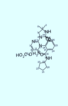 CC1(C)CN(C2=NC=C(OC(=O)O)C(N)N2c2c(C(=O)NC3CCCC3)cccc2C(F)(F)F)C(=O)N1